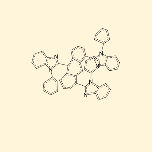 c1ccc(-n2c(-c3cccc4c(-c5nc6ccccc6n5-c5ccccc5)c5cccc(-c6nc7ccccc7n6-c6ccccc6)c5cc34)nc3ccccc32)cc1